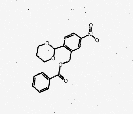 O=C(OCc1cc([N+](=O)[O-])ccc1C1OCCCO1)c1ccccc1